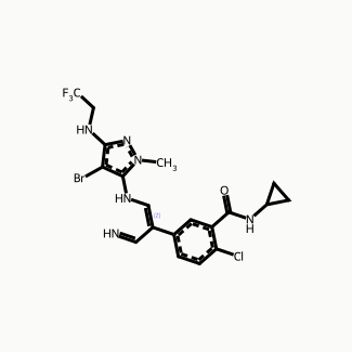 Cn1nc(NCC(F)(F)F)c(Br)c1N/C=C(\C=N)c1ccc(Cl)c(C(=O)NC2CC2)c1